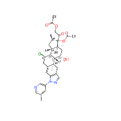 CCC(=O)OCC(=O)C1(OC(=O)CC)[C@H](C)C[C@H]2[C@H]3[C@H]([C@@H](O)C[C@@]21C)[C@@]1(C)Cc2cnn(-c4cncc(C)c4)c2C=C1C[C@H]3Cl